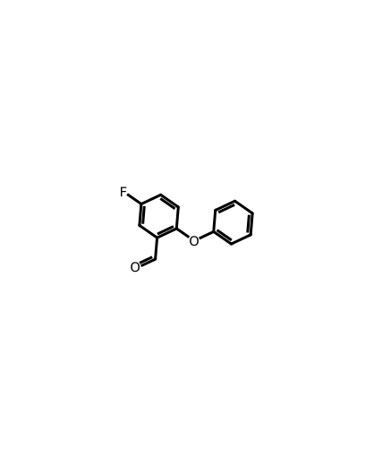 O=Cc1cc(F)ccc1Oc1ccccc1